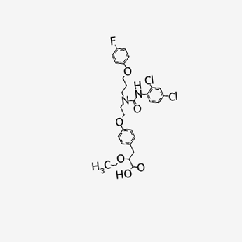 CCOC(Cc1ccc(OCCN(CCCOc2ccc(F)cc2)C(=O)Nc2ccc(Cl)cc2Cl)cc1)C(=O)O